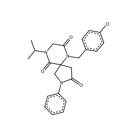 CC(C)N1CC(=O)N(Cc2ccc(Cl)cc2)C2(CC(=O)N(c3ccccc3)C2)C1=O